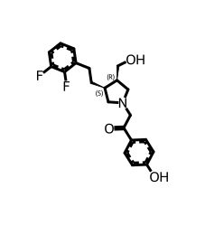 O=C(CN1C[C@@H](CCc2cccc(F)c2F)[C@@H](CO)C1)c1ccc(O)cc1